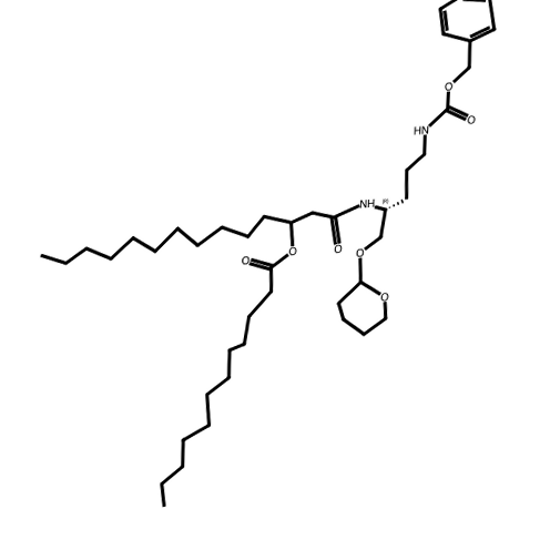 CCCCCCCCCCCC(=O)OC(CCCCCCCCCCC)CC(=O)N[C@H](CCCNC(=O)OCc1ccccc1)COC1CCCCO1